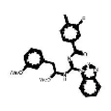 COc1cccc(CC(NC(=NC(=O)c2ccc(C)c(F)c2)n2nnc3ccccc32)OC)c1